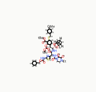 CCN1CCN(C(=O)NC(C(=O)N[C@@H](Cc2ccc(SCc3ccc(OC)cc3)c(C(=O)OC(C)(C)C)c2OC(=O)OC(C)(C)C)B2O[C@@H]3C[C@@H]4C[C@@H](C4(C)C)[C@]3(C)O2)c2csc(NC(=O)OCc3ccccc3)n2)C(=O)C1=O